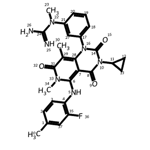 Cc1ccc(Nc2c3c(=O)n(C4CC4)c(=O)n(-c4cccc(N(C)C(=N)N)c4)c3c(C)c(=O)n2C)c(F)c1